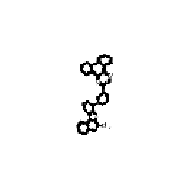 Cc1cc2ccccc2c2c1oc1c(-c3cccc(-c4cnc5c6ccccc6c6ccccc6c5n4)c3)cccc12